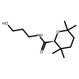 CC1(C)CCC(C)(C)[C@@H](C(=O)NCCCO)O1